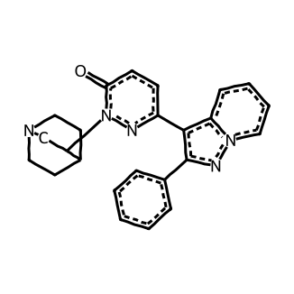 O=c1ccc(-c2c(-c3ccccc3)nn3ccccc23)nn1C1CN2CCC1CC2